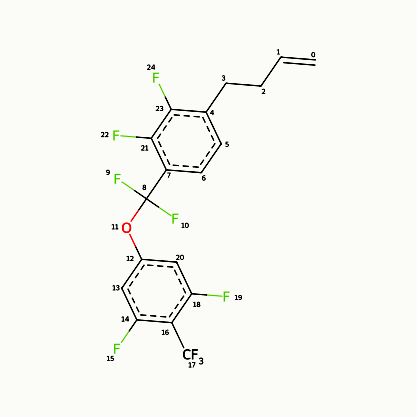 C=CCCc1ccc(C(F)(F)Oc2cc(F)c(C(F)(F)F)c(F)c2)c(F)c1F